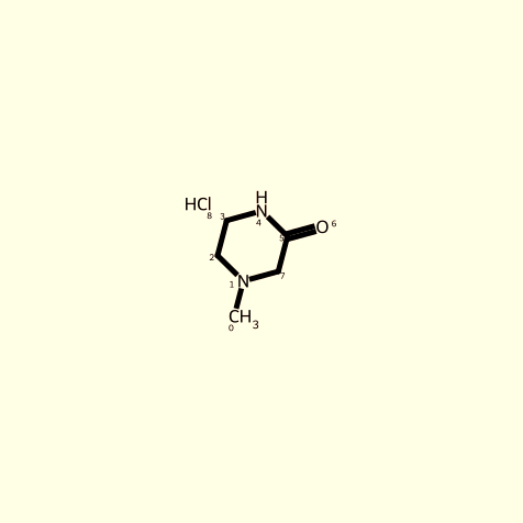 CN1CCNC(=O)C1.Cl